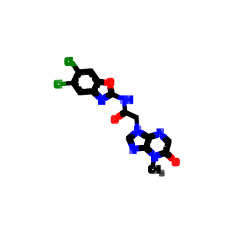 Cn1c(=O)cnc2c1ncn2CC(=O)Nc1nc2cc(Cl)c(Cl)cc2o1